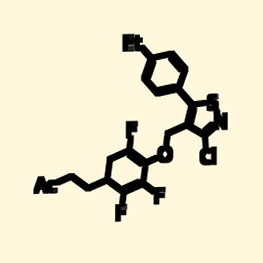 CCc1ccc(-c2snc(Cl)c2COC2=C(F)CC(CCC(C)=O)C(F)=C2F)cc1